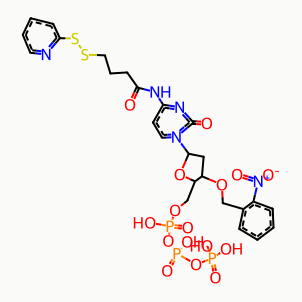 O=C(CCCSSc1ccccn1)Nc1ccn(C2CC(OCc3ccccc3[N+](=O)[O-])C(COP(=O)(O)OP(=O)(O)OP(=O)(O)O)O2)c(=O)n1